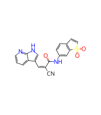 N#CC(=Cc1c[nH]c2ncccc12)C(=O)Nc1ccc2c(c1)S(=O)(=O)C=C2